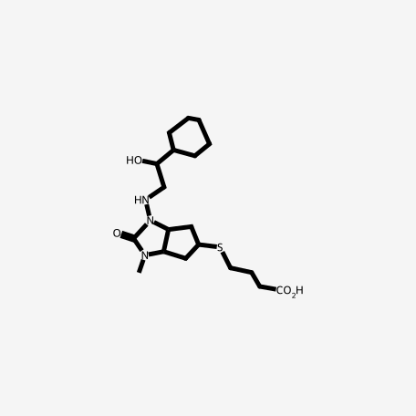 CN1C(=O)N(NCC(O)C2CCCCC2)C2CC(SCCCC(=O)O)CC21